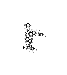 COC(=O)c1ccc(C2CN(Cc3ccccc3)CCN2C(=O)c2cccc3c2ccn3C(=O)OC(C)(C)C)cc1